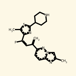 C=C(/C=C(/F)c1nc(C2CCNCC2)sc1C)c1ccc2nc(C)cn2n1